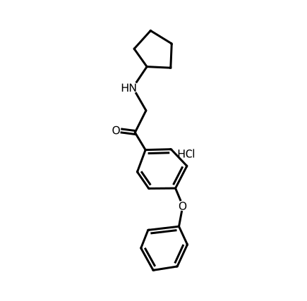 Cl.O=C(CNC1CCCC1)c1ccc(Oc2ccccc2)cc1